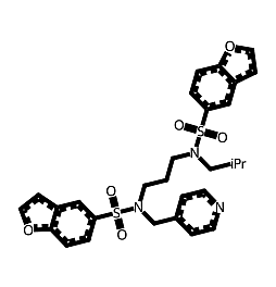 CC(C)CN(CCCN(Cc1ccncc1)S(=O)(=O)c1ccc2occc2c1)S(=O)(=O)c1ccc2occc2c1